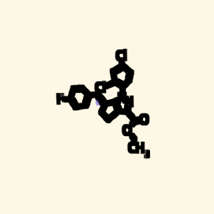 CCOC(=O)c1nn(-c2ccc(Cl)cc2Cl)c2c1CC/C2=C\c1ccc(F)cc1